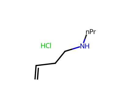 C=CCCNCCC.Cl